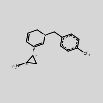 N[C@@H]1C[C@H]1C1=CN(Cc2ccc(C(F)(F)F)cc2)CC=C1